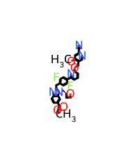 COC(=O)c1ccc2nc(Cc3cc(F)c(-c4cccc(OCc5cnc(C#N)cc5OC)n4)cc3F)n(C[C@@H]3CCO3)c2c1